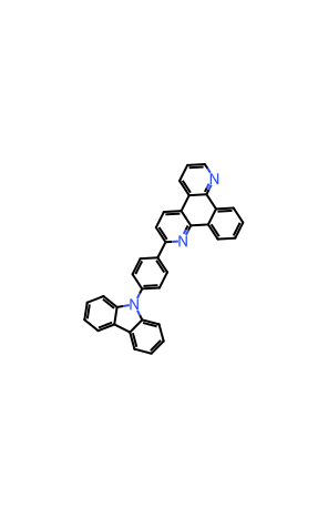 c1ccc2c(c1)c1ncccc1c1ccc(-c3ccc(-n4c5ccccc5c5ccccc54)cc3)nc21